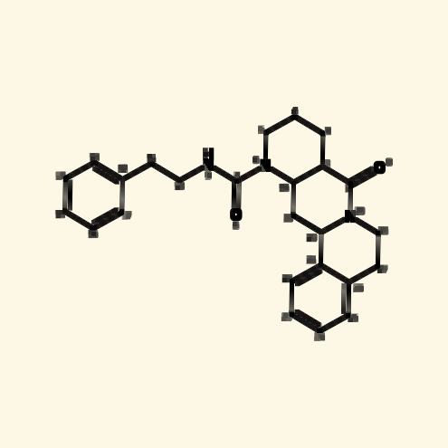 O=C1C2CCCN(C(=O)NCCc3ccccc3)C2CC2c3ccccc3CCN12